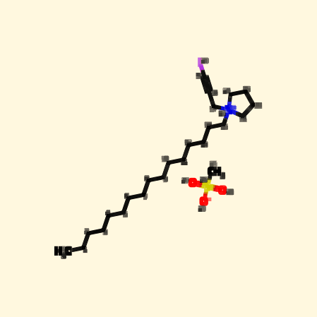 CCCCCCCCCCCCCCCC[N+]1(CC#CI)CCCC1.CS(=O)(=O)[O-]